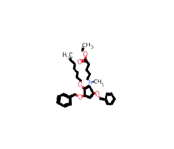 CCCCCCCOC1C(OCc2ccccc2)CC(OCc2ccccc2)C1N(C)CCCCC(=O)OCC